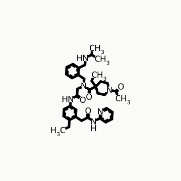 CCc1ccc(NC(=O)CN(Cc2ccccc2CNC(C)C)C(=O)C2(CC)CCN(C(C)=O)CC2)cc1CC(=O)Nc1ccccn1